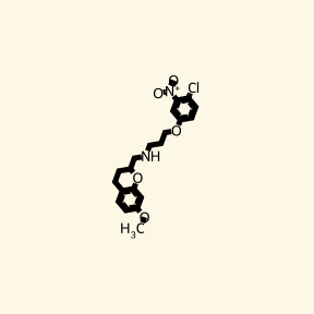 COc1ccc2c(c1)OC(CNCCCOc1ccc(Cl)c([N+](=O)[O-])c1)CC2